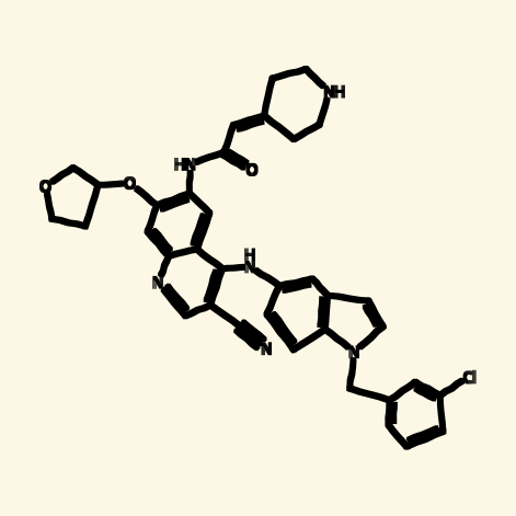 N#Cc1cnc2cc(OC3CCOC3)c(NC(=O)C=C3CCNCC3)cc2c1Nc1ccc2c(ccn2Cc2cccc(Cl)c2)c1